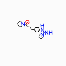 N=C(Nc1ccc(CCCC(=O)N2CCCCC2)cc1)N1CCCC1